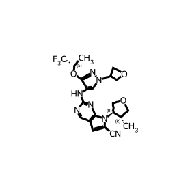 C[C@H](Oc1nn(C2COC2)cc1Nc1ncc2cc(C#N)n([C@H]3COC[C@@H]3C)c2n1)C(F)(F)F